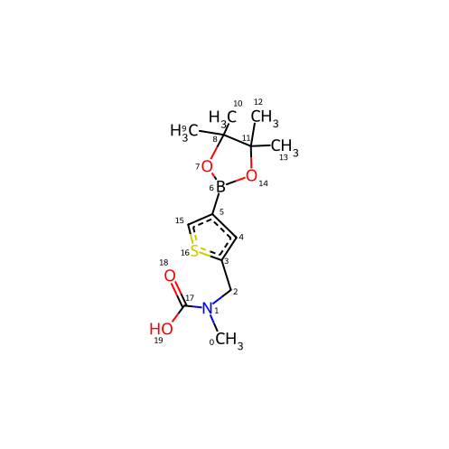 CN(Cc1cc(B2OC(C)(C)C(C)(C)O2)cs1)C(=O)O